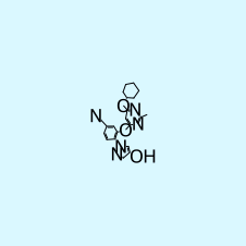 Cc1nc(Oc2cc(C#N)ccc2-n2cc(O)cn2)cc(OC2CCCCC2)n1